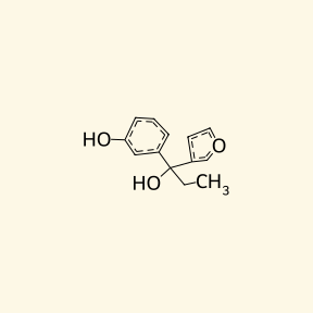 CCC(O)(c1ccoc1)c1cccc(O)c1